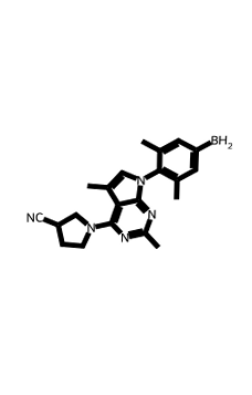 Bc1cc(C)c(-n2cc(C)c3c(N4CCC(C#N)C4)nc(C)nc32)c(C)c1